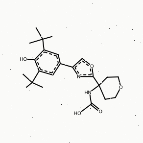 CC(C)(C)c1cc(-c2coc(C3(NC(=O)O)CCOCC3)n2)cc(C(C)(C)C)c1O